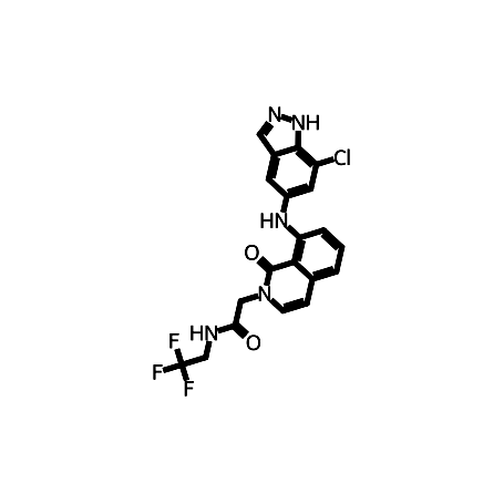 O=C(Cn1ccc2cccc(Nc3cc(Cl)c4[nH]ncc4c3)c2c1=O)NCC(F)(F)F